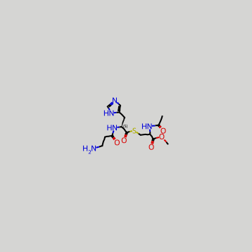 COC(=O)C(CSC(=O)[C@H](Cc1cnc[nH]1)NC(=O)CCN)NC(C)=O